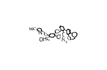 Cc1c(COc2cc(OCc3ccc(C#N)cn3)c(C=O)cc2Cl)cccc1-c1ccc2c(c1)OCCO2